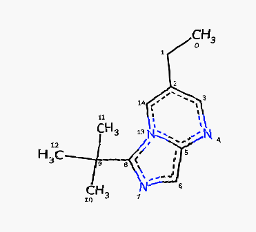 CCc1cnc2cnc(C(C)(C)C)n2c1